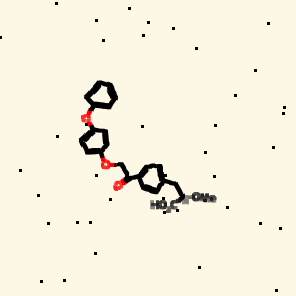 CO[C@@H](Cc1ccc(C(=O)COc2ccc(Oc3ccccc3)cc2)cc1)C(=O)O